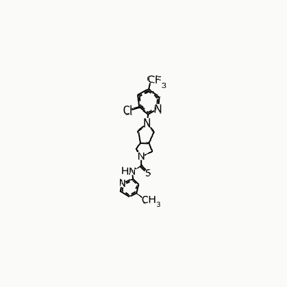 Cc1ccnc(NC(=S)N2CC3CN(c4ncc(C(F)(F)F)cc4Cl)CC3C2)c1